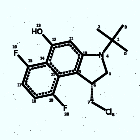 CC(C)(C)N1C[C@H](CCl)c2c1cc(O)c1c(F)ccc(F)c21